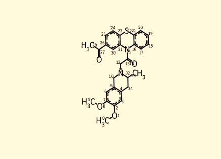 COc1cc2c(cc1OC)CN(CC(=O)N1c3ccccc3Sc3ccc(C(C)=O)cc31)C(C)C2